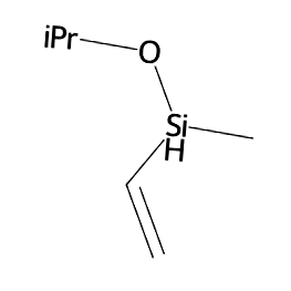 C=C[SiH](C)OC(C)C